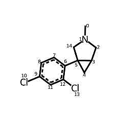 CN1CC2CC2(c2ccc(Cl)cc2Cl)C1